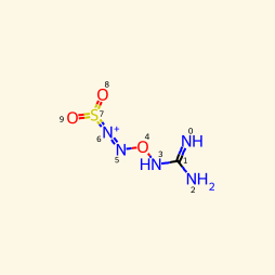 N=C(N)NON=[N+]=S(=O)=O